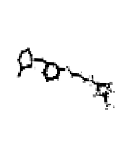 CC1CCCN(Cc2cccc(OCCCNc3nnc(N)s3)c2)C1